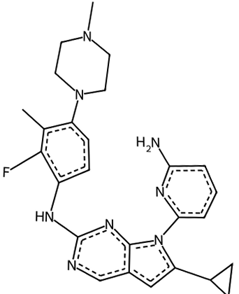 Cc1c(N2CCN(C)CC2)ccc(Nc2ncc3cc(C4CC4)n(-c4cccc(N)n4)c3n2)c1F